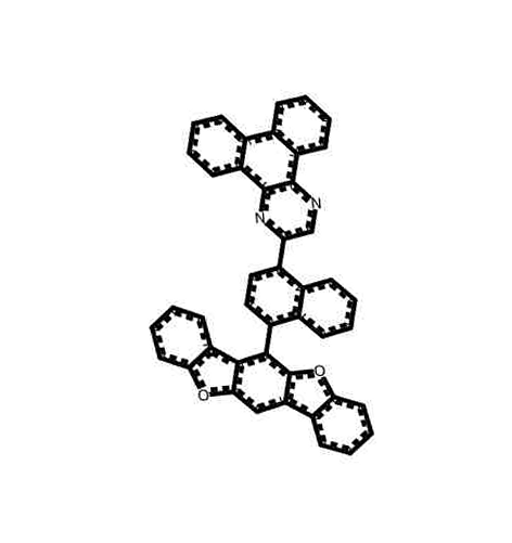 c1ccc2c(c1)oc1c(-c3ccc(-c4cnc5c6ccccc6c6ccccc6c5n4)c4ccccc34)c3c(cc12)oc1ccccc13